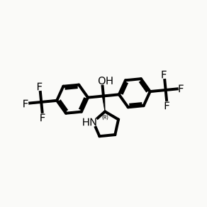 OC(c1ccc(C(F)(F)F)cc1)(c1ccc(C(F)(F)F)cc1)[C@H]1CCCN1